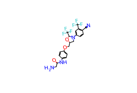 N#Cc1ccc(N2CC(COc3ccc(NC(=O)CN)cc3)OC2C(F)(F)F)cc1C(F)(F)F